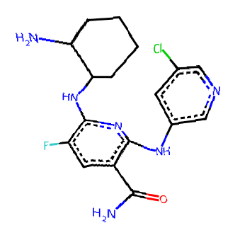 NC(=O)c1cc(F)c(NC2CCCCC2N)nc1Nc1cncc(Cl)c1